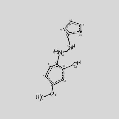 COc1ccc(NNc2nccs2)c(O)c1